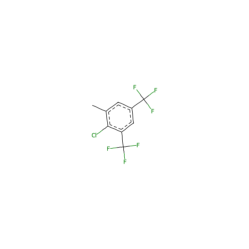 Cc1cc(C(F)(F)F)cc(C(F)(F)F)c1Cl